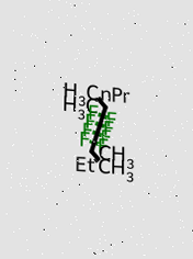 CCCC(C)(C)CC(F)(F)C(F)(F)C(F)(F)C(F)(F)CC(C)(C)CC